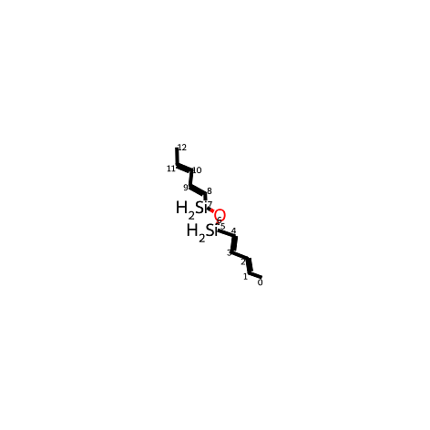 CC=CC=C[SiH2]O[SiH2]C=CC=CC